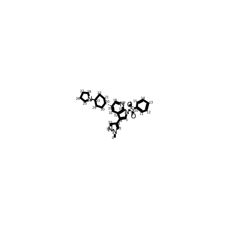 Cn1cc(-c2cn(S(=O)(=O)c3ccccc3)c3ncc([C@H]4CC[C@H](N5CCCC5)CC4)cc23)cn1